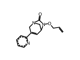 C=CCON1C(=O)N2CC(c3ccccn3)=CC1C2